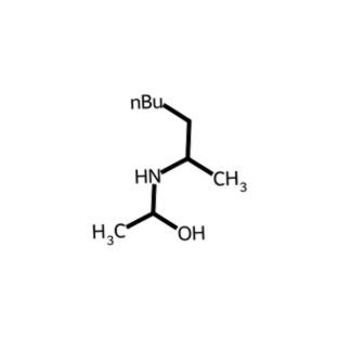 CCCCCC(C)NC(C)O